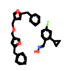 ON=Cc1ccc(F)cc1C1CC1.c1ccc(Cc2cc(COCc3coc(Cc4ccccc4)c3)co2)cc1